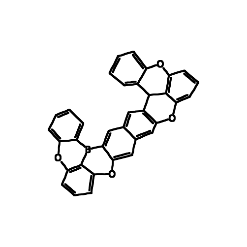 c1ccc2c(c1)Oc1cccc3c1B2c1cc2cc4c(cc2cc1O3)Oc1cccc2c1C4c1ccccc1O2